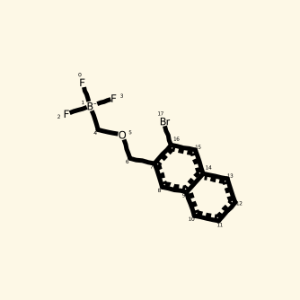 F[B-](F)(F)COCc1cc2ccccc2cc1Br